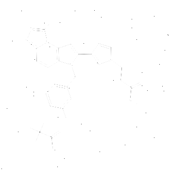 Cc1nnc2ccc3c(cc(-c4ccn(CCC(N)=O)n4)n3Cc3cccc(Cl)c3)n12.O=C(O)C(F)(F)F